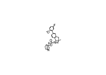 COc1ccc(F)cc1-c1ccc2c(c1)CC(C)(C)C2NC(=O)O[C@H]1CN2CCC1CC2